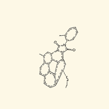 Cc1ccccc1-n1c(=O)c2c3cc(C)c4ccc5ccc6c(SI)cc(c2c1=O)c1c6c5c4c31